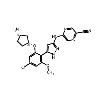 COc1cc(Cl)cc(O[C@@H]2CC[C@H](N)C2)c1-c1cc(Nc2cnc(C#N)cn2)n[nH]1